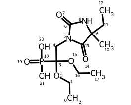 CCOC(CN1C(=O)NC(C)(CC)C1=O)(OCC)P(=O)(O)O